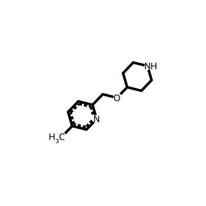 Cc1ccc(COC2CCNCC2)nc1